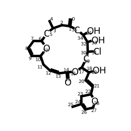 C=C1CC(C)CC2CC=CC(C/C=C\C(=O)OC(C(O)C=CC3CC(C)=CCO3)CC(Cl)C(O)C(O)C1)O2